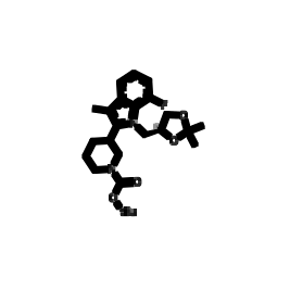 Cc1c(C2CCCN(C(=O)OC(C)(C)C)C2)n(C[C@H]2COC(C)(C)O2)c2c(F)cccc12